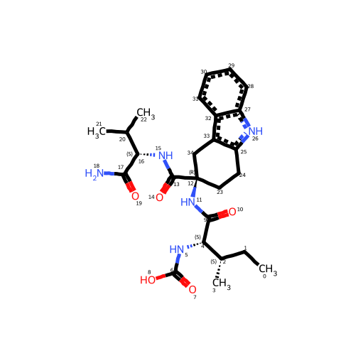 CC[C@H](C)[C@H](NC(=O)O)C(=O)N[C@]1(C(=O)N[C@H](C(N)=O)C(C)C)CCc2[nH]c3ccccc3c2C1